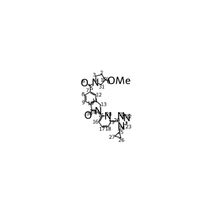 CO[C@@H]1CCN(C(=O)c2ccc3c(c2)CN(c2cccc(-c4nncn4C4CC4)n2)C3=O)C1